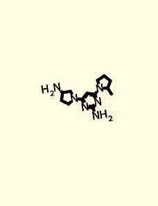 CC1CCCN1c1cc(N2CCC(N)C2)nc(N)n1